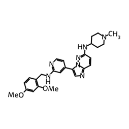 COc1ccc(CNc2cc(-c3cnc4ccc(NC5CCN(C)CC5)nn34)ccn2)c(OC)c1